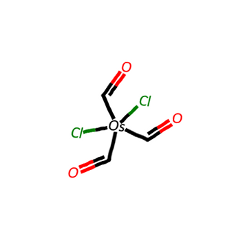 O=[CH][Os]([Cl])([Cl])([CH]=O)[CH]=O